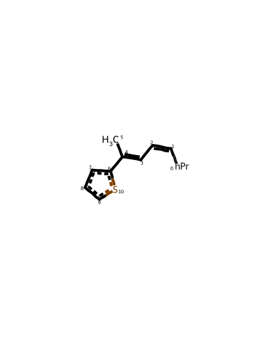 CCC/C=C\C=C(/C)c1cccs1